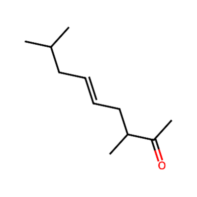 CC(=O)C(C)CC=CCC(C)C